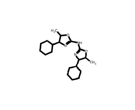 CC1OC(NC2=NC(C3CCCCC3)C(C)O2)=NC1C1CCCCC1